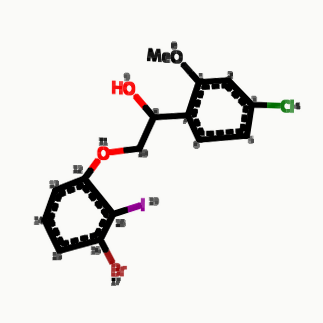 COc1cc(Cl)ccc1C(O)COc1cccc(Br)c1I